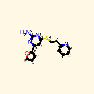 Nc1nc(SCCc2ccccn2)cc(-c2ccco2)n1